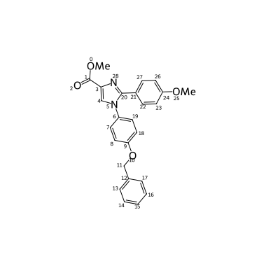 COC(=O)c1cn(-c2ccc(OCc3ccccc3)cc2)c(-c2ccc(OC)cc2)n1